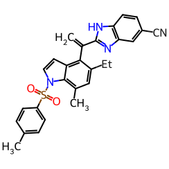 C=C(c1nc2cc(C#N)ccc2[nH]1)c1c(CC)cc(C)c2c1ccn2S(=O)(=O)c1ccc(C)cc1